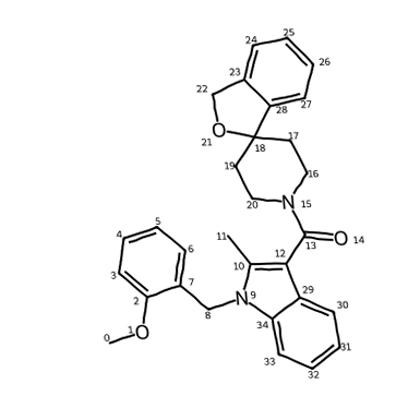 COc1ccccc1Cn1c(C)c(C(=O)N2CCC3(CC2)OCc2ccccc23)c2ccccc21